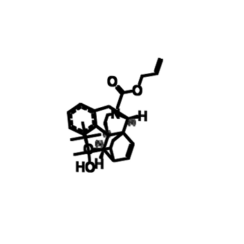 C=CCOC(=O)N1CC[C@]23c4c5cccc4O[C@H]2C2C=CC3(CC2C(C)(O)C(C)(C)C)[C@H]1C5